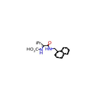 CC(C)[C@H](NC(=O)O)C(=O)NCc1cccc2ccccc12